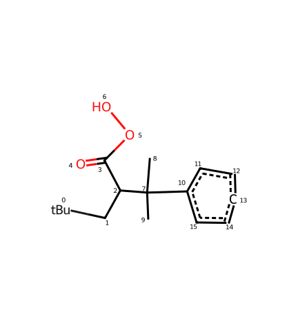 CC(C)(C)CC(C(=O)OO)C(C)(C)c1ccccc1